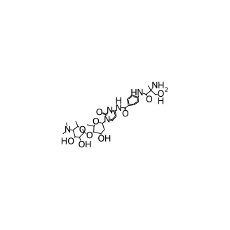 CC1OC(n2ccc(NC(=O)c3ccc(NC(=O)C(C)(N)CO)cc3)nc2=O)CC(O)C1OC1OC(C)C(N(C)C)C(O)C1O